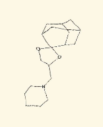 C1CCN(CC2COC3(O2)C2CC4CC(C2)CC3C4)CC1